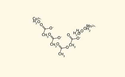 CC(=O)[O-].CC(=O)[O-].CC(=O)[O-].CC(=O)[O-].O.O.O.O.[Co+2].[Mn+2]